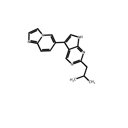 CC(C)Cc1ncc2c(-c3ccc4nccn4c3)c[nH]c2n1